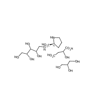 O=C(O)CC(O)C(=O)O.O=C(O)[C@@H]1CCCN1.OCC(O)C(O)C(O)CO.OCC(O)CO